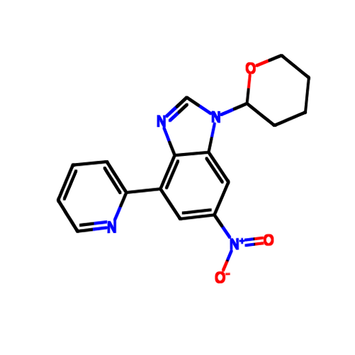 O=[N+]([O-])c1cc(-c2ccccn2)c2ncn(C3CCCCO3)c2c1